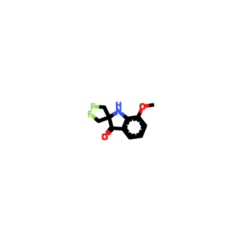 COc1cccc2c1NC(CF)(CF)C2=O